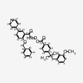 COc1cccc(CC(C)(C)c2ccc(C(=O)OONC(=O)c3cc(-c4ccncc4)ccc3OCc3ccccc3)cc2)c1